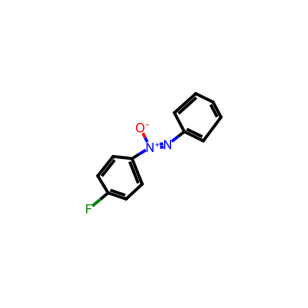 [O-][N+](=Nc1ccccc1)c1ccc(F)cc1